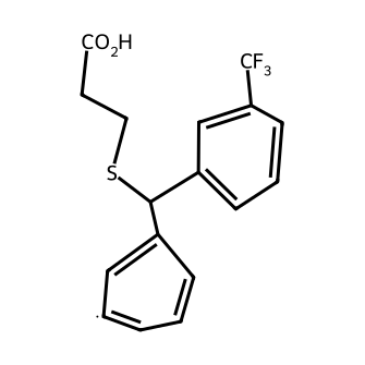 O=C(O)CCSC(c1c[c]ccc1)c1cccc(C(F)(F)F)c1